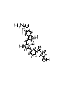 NC(=O)Nc1ccc2c(c1)C(=Cc1cc(-c3cccc(C(=O)N4CCC(O)C4)c3)c[nH]1)C(=O)N2